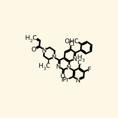 C=CC(=O)N1CCN(c2nc(=O)n(-c3c(C(C)C)ncc(F)c3C)c3nc(-c4ccccc4C=O)c(Cl)cc23)[C@@H](C)C1